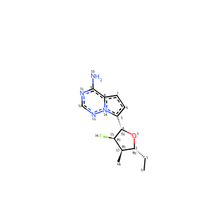 CC[C@H]1O[C@@H](c2ccc3c(N)ncnn23)[C@H](F)[C@@H]1C